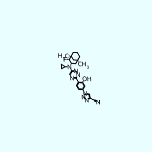 C[C@]12CCC[C@](C)(C1)[C@H](F)[C@H](N(c1cnc(-c3ccc(-n4cc(C#N)nn4)cc3O)nn1)C1CC1)C2